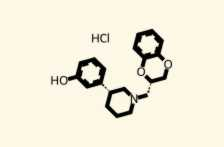 Cl.Oc1cccc([C@H]2CCCN(C[C@H]3COc4ccccc4O3)C2)c1